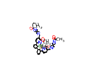 COc1nc(-c2cccc(-c3cccc(-c4ccc(CN5CC6(C5)CN(C(C)=O)C6)c(OC)n4)c3SC)c2Cl)ccc1CN1CC2(C1)CN(C(C)=O)C2